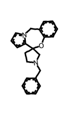 c1ccc(CN2CCC3(C2)Oc2ccccc2Cn2cccc23)cc1